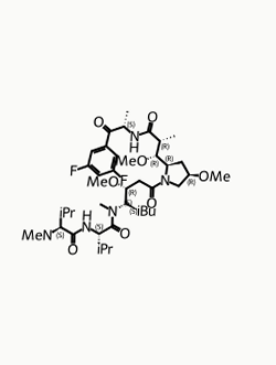 CC[C@H](C)[C@@H]([C@@H](CC(=O)N1C[C@H](OC)C[C@@H]1[C@H](OC)[C@@H](C)C(=O)N[C@@H](C)C(=O)c1cc(F)cc(F)c1)OC)N(C)C(=O)[C@@H](NC(=O)[C@@H](NC)C(C)C)C(C)C